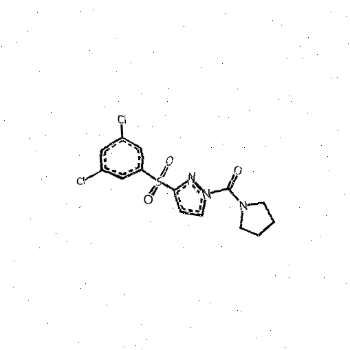 O=C(N1CCCC1)n1ccc(S(=O)(=O)c2cc(Cl)cc(Cl)c2)n1